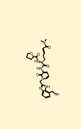 CC(C)Cc1cccc2nc(Cn3cccc(NC(=O)[C@H](CC/C=C/C(=O)N(C)C)NC(=O)C4CCCO4)c3=O)[nH]c12